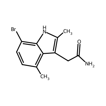 Cc1[nH]c2c(Br)ccc(C)c2c1CC(N)=O